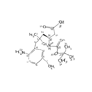 CC(C)(Cc1cc(CO)ccc1N)C[C@@H](CC(=O)O)NC(=O)OC(C)(C)C